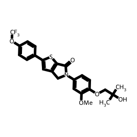 COc1cc(N2Cc3cc(-c4ccc(OC(F)(F)F)cc4)sc3C2=O)ccc1OCC(C)(C)O